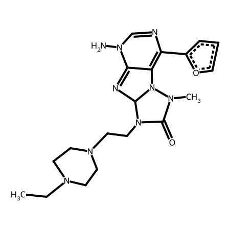 CCN1CCN(CCN2C(=O)N(C)N3C4=C(c5ccco5)N=CN(N)C4=NC23)CC1